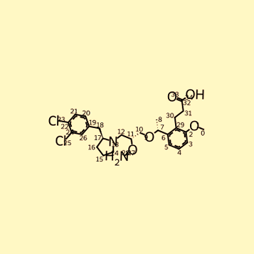 COc1cccc([C@@H](C)OC[C@@H](CN2CCC[C@H]2Cc2ccc(Cl)c(Cl)c2)ON)c1CCC(=O)O